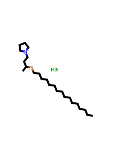 Br.CCCCCCCCCCCCCCCCSC(C)CCN1CCCC1